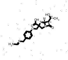 C[C@@H](O)[C@H]1C(=O)N2CC(COc3ccc(CN=CN)cc3)(C(=O)O)S[C@H]12